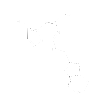 CSc1nc(NCc2nc3ccccc3[nH]2)n2ncc(C)c2n1